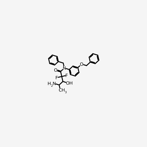 CC(N)C(O)C(F)(F)C(=O)N(Cc1ccccc1)c1cccc(OCc2ccccc2)c1